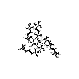 C[SiH](C)CC=C[Si](C)(C)O[Si](C)(C)O[Si](O[Si](C)(C)C=C[Si](C)(C)C)(O[Si](C)(C)O[Si](C)(C)C=C[Si](C)(C)C)O[Si](C)(C)O[Si](C)(C)C=C[Si](C)(C)C